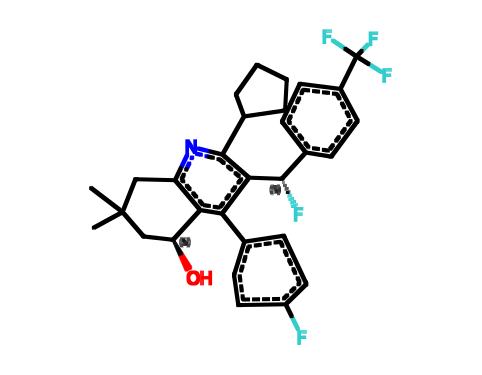 CC1(C)Cc2nc(C3CCCC3)c([C@@H](F)c3ccc(C(F)(F)F)cc3)c(-c3ccc(F)cc3)c2[C@@H](O)C1